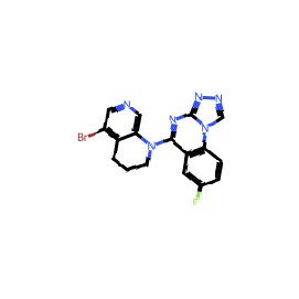 Fc1ccc2c(c1)c(N1CCCc3c(Br)cncc31)nc1nncn12